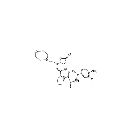 C[C@H](NC(=O)c1ccc(N)c(Cl)c1)C(=O)N1CCC[C@H]1C(=O)N[C@H]1CC(=O)O[C@H]1OCCN1CCOCC1